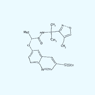 C#Cc1cnc2ccc(OC(SC)C(=O)NC(C)(C)c3nocc3C)cc2c1